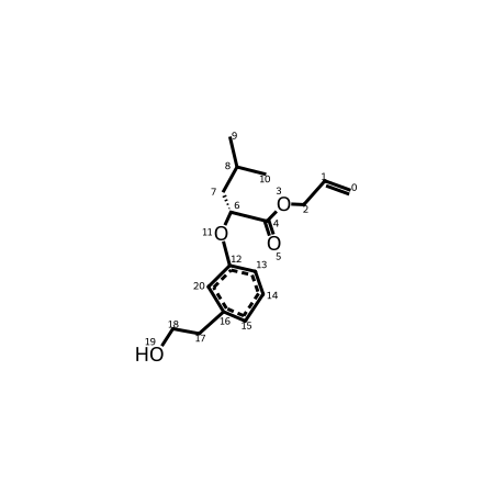 C=CCOC(=O)[C@@H](CC(C)C)Oc1cccc(CCO)c1